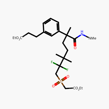 CCOC(=O)CCc1cccc(C(C)(CCC(C)(C)C(F)(F)CS(=O)(=O)CC(=O)OCC)C(=O)NNC)c1